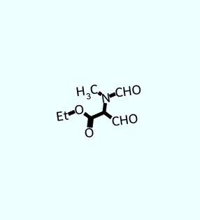 CCOC(=O)C(C=O)N(C)C=O